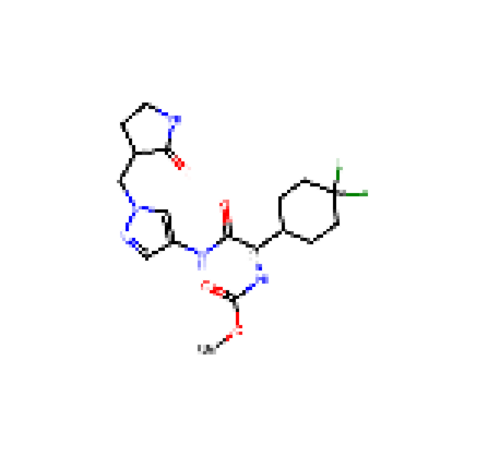 CC(C)(C)OC(=O)N[C@H](C(=O)Nc1cnn(CC2CCNC2=O)c1)C1CCC(F)(F)CC1